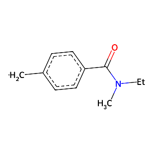 [CH2]c1ccc(C(=O)N(C)CC)cc1